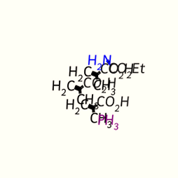 C=C(C)C(=O)O.C=C(C)C(=O)O.C=C(C)C(=O)O.CCOC(N)=O.P